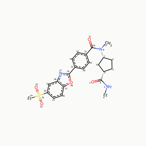 CCNC(=O)[C@H]1CC[C@@H](N(C)C(=O)c2ccc(-c3nc4cc(S(=O)(=O)CC)ccc4o3)cc2)C1